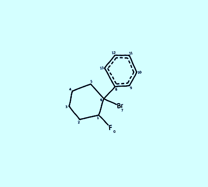 FC1CCCCC1(Br)c1ccccc1